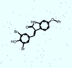 CC(C)Oc1ccc2c(c1)NC(=O)C2=Cc1cc(Br)c(O)c(Br)c1